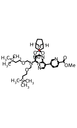 COC(=O)c1ccc(-c2cnn3c(N(COCC[Si](C)(C)C)COCC[Si](C)(C)C)cc([C@@H]4C[C@H]5CC[C@@H](C4)N5C(=O)OC(C)(C)C)nc23)cn1